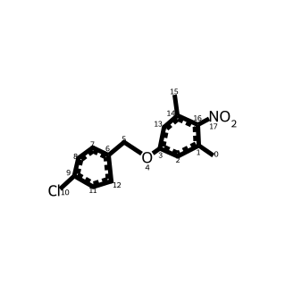 Cc1cc(OCc2ccc(Cl)cc2)cc(C)c1[N+](=O)[O-]